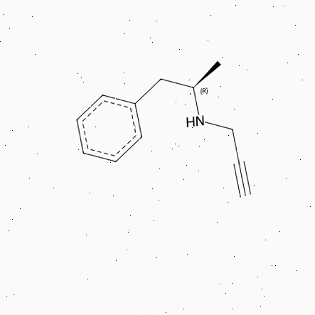 C#CCN[C@H](C)Cc1ccccc1